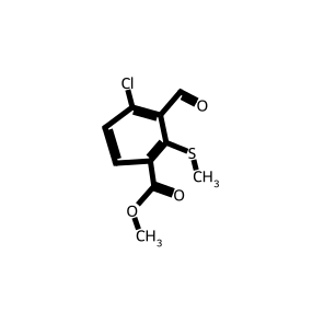 COC(=O)c1ccc(Cl)c(C=O)c1SC